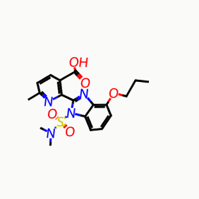 CCCOc1cccc2c1nc(-c1nc(C)ccc1C(=O)O)n2S(=O)(=O)N(C)C